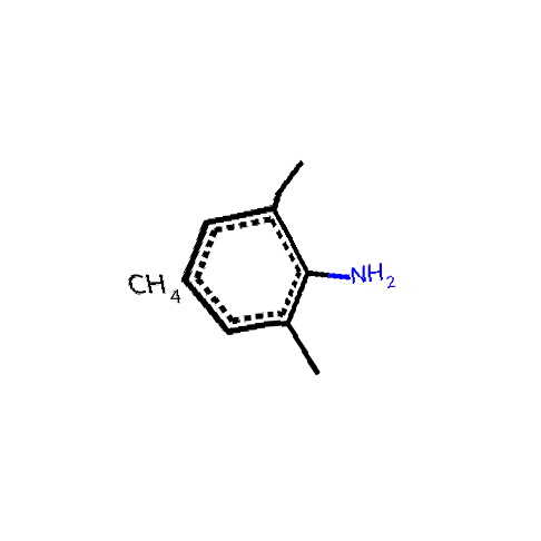 C.Cc1cccc(C)c1N